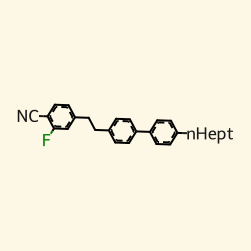 CCCCCCCc1ccc(-c2ccc(CCc3ccc(C#N)c(F)c3)cc2)cc1